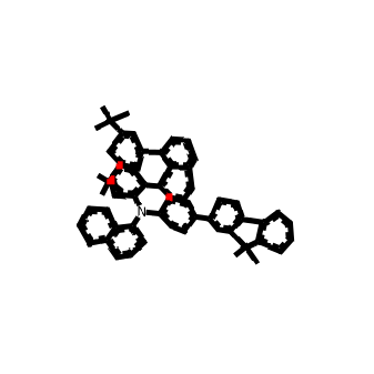 CC(C)(C)c1cc(-c2cccc3cccc(-c4ccccc4N(c4ccc(-c5ccc6c(c5)C(C)(C)c5ccccc5-6)cc4)c4cccc5ccccc45)c23)cc(C(C)(C)C)c1